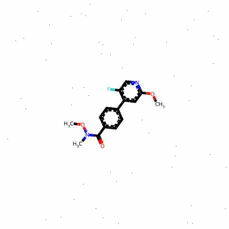 COc1cc(-c2ccc(C(=O)N(C)OC)cc2)c(F)cn1